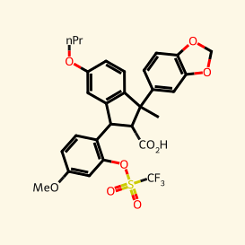 CCCOc1ccc2c(c1)C(c1ccc(OC)cc1OS(=O)(=O)C(F)(F)F)C(C(=O)O)C2(C)c1ccc2c(c1)OCO2